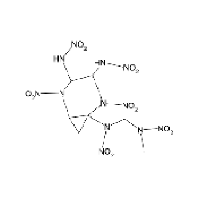 CN(CN([N+](=O)[O-])C12CC1N([N+](=O)[O-])C(N[N+](=O)[O-])C(N[N+](=O)[O-])N2[N+](=O)[O-])[N+](=O)[O-]